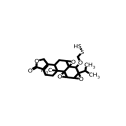 CC(C)C12OC1C1OC13C1(C)CCC4=C(COC4=O)C1CC1OC13C2OCSS